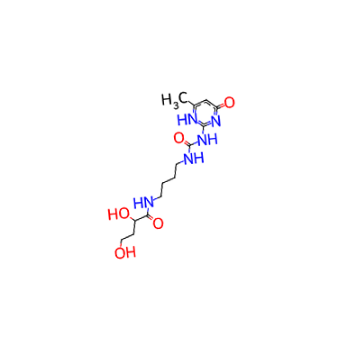 Cc1cc(=O)nc(NC(=O)NCCCCNC(=O)C(O)CCO)[nH]1